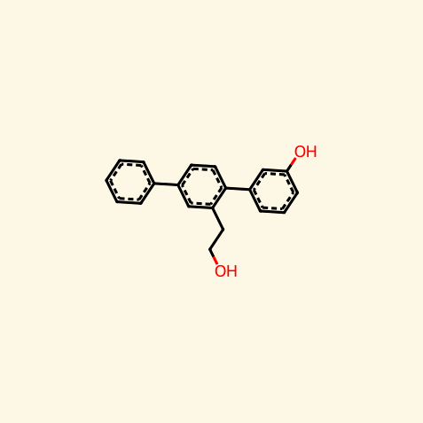 OCCc1cc(-c2ccccc2)ccc1-c1cccc(O)c1